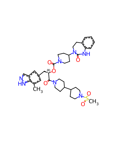 Cc1cc(C[C@@H](OC(=O)N2CCC(N3CCc4ccccc4NC3=O)CC2)C(=O)N2CCC(C3CCN(S(C)(=O)=O)CC3)CC2)cc2cn[nH]c12